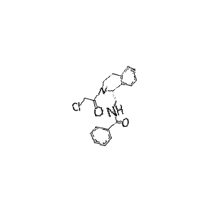 O=C(NC[C@H]1c2ccccc2CCN1C(=O)CCl)c1ccccc1